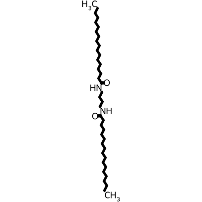 CCCCCCCCCCCCCCCCCC(=O)NCCCCNC(=O)CCCCCCCCCCCCCCCCC